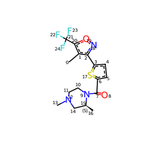 Cc1c(-c2ccc(C(=O)N3CCN(C)C[C@@H]3C)s2)noc1C(F)(F)F